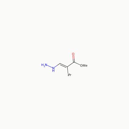 COC(=O)/C(=C/NN)C(C)C